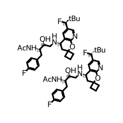 CC(=O)N[C@@H](Cc1ccc(F)cc1)[C@H](O)CN[C@H]1CC2(CCC2)Oc2ncc([C@@H](F)C(C)(C)C)cc21.CC(=O)N[C@@H](Cc1ccc(F)cc1)[C@H](O)CN[C@H]1CC2(CCC2)Oc2ncc([C@H](F)C(C)(C)C)cc21